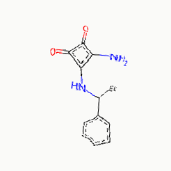 CCC(Nc1c(N)c(=O)c1=O)c1ccccc1